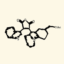 CC(=O)OCC1CCc2c(c(C3=C(c4csc5ccccc45)C(=O)OC3=O)c3ccccn23)C1